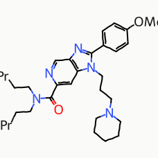 COc1ccc(-c2nc3cnc(C(=O)N(CCC(C)C)CCC(C)C)cc3n2CCCN2CCCCC2)cc1